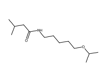 CC(C)CC(=O)NCCCCCOC(C)C